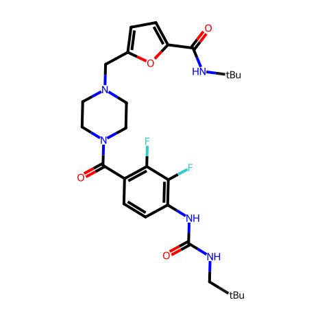 CC(C)(C)CNC(=O)Nc1ccc(C(=O)N2CCN(Cc3ccc(C(=O)NC(C)(C)C)o3)CC2)c(F)c1F